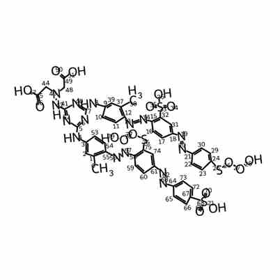 Cc1cc(Nc2nc(Nc3ccc(N=Nc4ccc(N=Nc5ccc(SOOO)cc5)cc4S(=O)(=O)O)c(C)c3)nc(NN(CC(=O)O)CC(=O)O)n2)ccc1N=Nc1ccc(N=Nc2ccc(S(=O)(=O)O)cc2)cc1SOOO